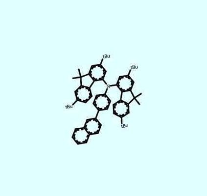 CC(C)(C)c1ccc2c(c1)C(C)(C)c1cc(C(C)(C)C)cc(N(c3ccc(-c4ccc5ccccc5c4)cc3)c3cc(C(C)(C)C)cc4c3-c3ccc(C(C)(C)C)cc3C4(C)C)c1-2